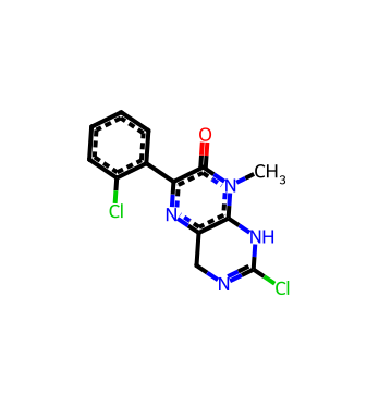 Cn1c2c(nc(-c3ccccc3Cl)c1=O)CN=C(Cl)N2